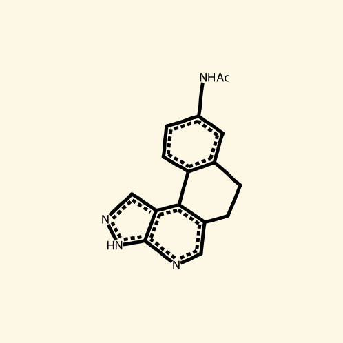 CC(=O)Nc1ccc2c(c1)CCc1cnc3[nH]ncc3c1-2